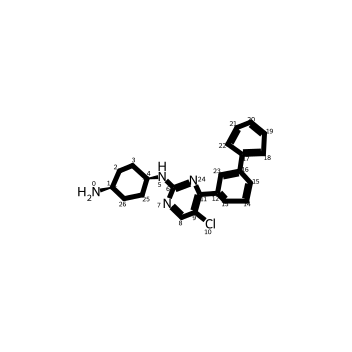 N[C@H]1CC[C@@H](Nc2ncc(Cl)c(-c3cccc(-c4ccccc4)c3)n2)CC1